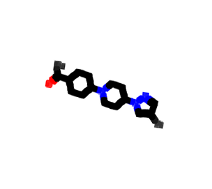 CCc1cnn(C2CCN(C3CCC(C(=O)C(C)CC)CC3)CC2)c1